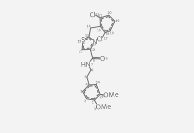 COc1ccc(CCNC(=O)c2csc(Cc3c(Cl)cccc3Cl)n2)cc1OC